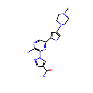 CN1CCN(c2c[nH]c(-c3cnc(N)c(-n4cc(C(N)=O)cn4)n3)c2)CC1